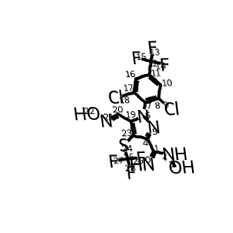 N=C(NO)c1nn(-c2c(Cl)cc(C(F)(F)F)cc2Cl)c(C=NO)c1SC(F)(F)F